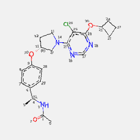 CC(=O)N[C@@H](C)c1ccc(O[C@@H]2CCN(c3ncnc(OC4CCC4)c3Cl)C2)cc1